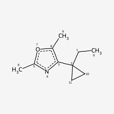 CCC1(c2nc(C)oc2C)CC1